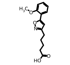 COc1ccccc1-c1cc(CCCCC(=O)O)no1